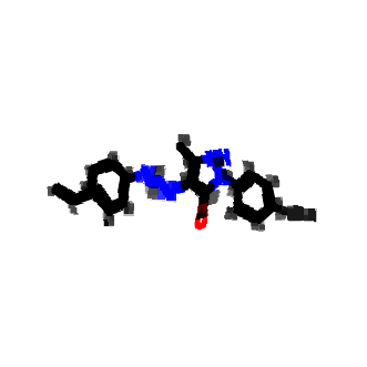 C=Cc1ccc(N=Nc2c(C)[nH]n(-c3ccc(C(C)(C)C)cc3)c2=O)cc1